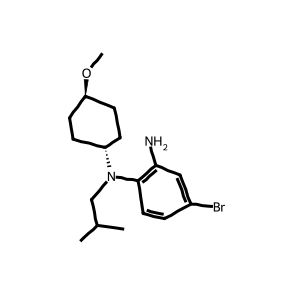 CO[C@H]1CC[C@H](N(CC(C)C)c2ccc(Br)cc2N)CC1